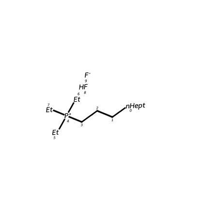 CCCCCCCCCC[P+](CC)(CC)CC.F.[F-]